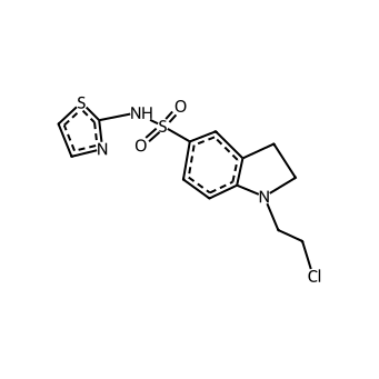 O=S(=O)(Nc1nccs1)c1ccc2c(c1)CCN2CCCl